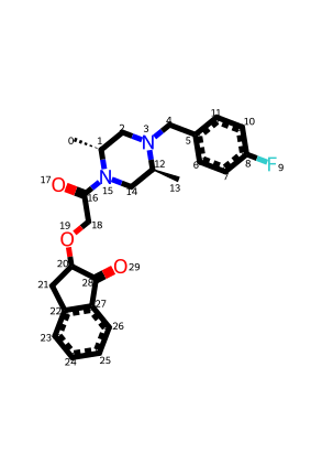 C[C@@H]1CN(Cc2ccc(F)cc2)[C@@H](C)CN1C(=O)COC1Cc2ccccc2C1=O